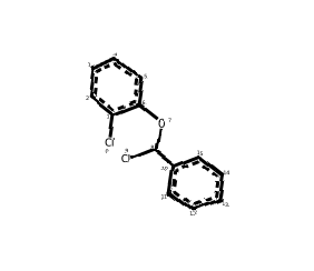 Clc1ccccc1OC(Cl)c1ccccc1